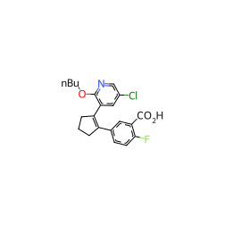 CCCCOc1ncc(Cl)cc1C1=C(c2ccc(F)c(C(=O)O)c2)CCC1